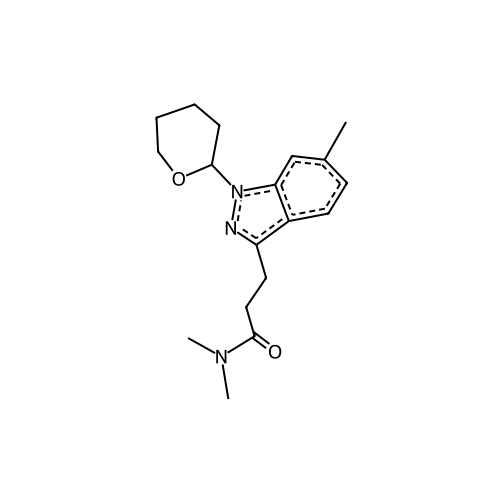 Cc1ccc2c(CCC(=O)N(C)C)nn(C3CCCCO3)c2c1